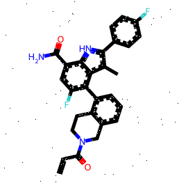 C=CC(=O)N1CCc2c(cccc2-c2c(F)cc(C(N)=O)c3[nH]c(-c4ccc(F)cc4)c(C)c23)C1